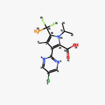 Cc1c(-c2ncc(Cl)cn2)c(C(=O)O)n(C(C)C)c1C(F)(F)P